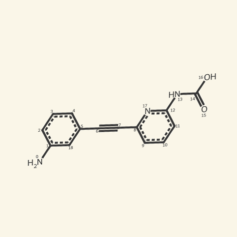 Nc1cccc(C#Cc2cccc(NC(=O)O)n2)c1